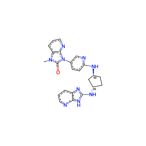 Cn1c(=O)n(-c2ccc(N[C@H]3CC[C@H](Nc4nc5cccnc5[nH]4)C3)nc2)c2ncccc21